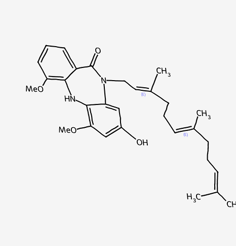 COc1cccc2c1Nc1c(OC)cc(O)cc1N(C/C=C(\C)CC/C=C(\C)CCC=C(C)C)C2=O